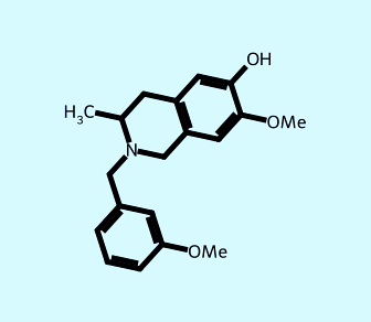 COc1cccc(CN2Cc3cc(OC)c(O)cc3CC2C)c1